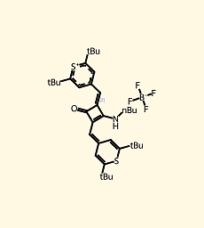 CCCCNC1=C(C=C2C=C(C(C)(C)C)SC(C(C)(C)C)=C2)C(=O)/C1=C\c1cc(C(C)(C)C)[s+]c(C(C)(C)C)c1.F[B-](F)(F)F